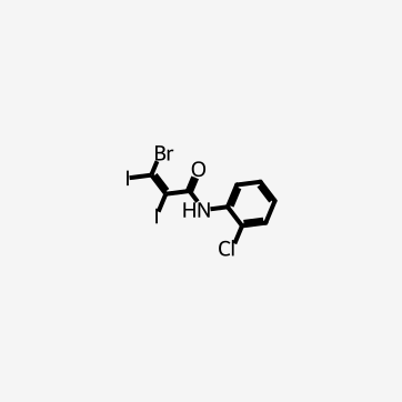 O=C(Nc1ccccc1Cl)/C(I)=C(\Br)I